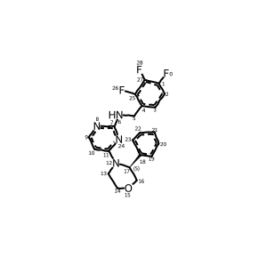 Fc1ccc(CNc2nccc(N3CCOC[C@@H]3c3ccccc3)n2)c(F)c1F